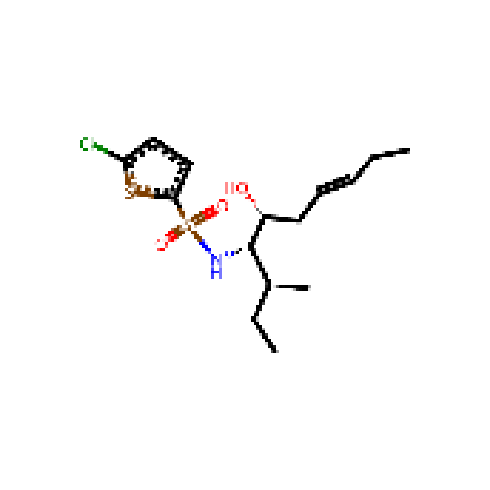 CCC=CC[C@@H](O)[C@@H](NS(=O)(=O)c1ccc(Cl)s1)[C@@H](C)CC